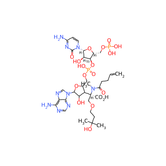 C=CCCC(=O)N(C)[C@](COCCC(C)(C)O)(C(=O)O)C1C(COP(=O)(O)O[C@H]2[C@@H](O)[C@H](n3ccc(N)nc3=O)O[C@@H]2COP(=O)(O)O)OC(n2cnc3c(N)ncnc32)C1O